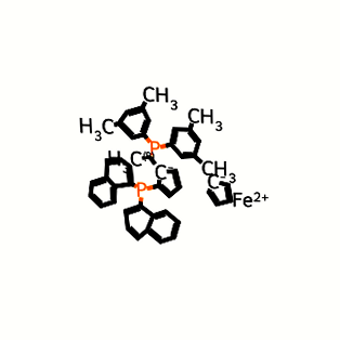 Cc1cc(C)cc(P(c2cc(C)cc(C)c2)[C@H](C)[c-]2cccc2P(c2cccc3ccccc23)c2cccc3ccccc23)c1.[Fe+2].c1cc[cH-]c1